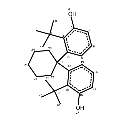 CC(C)(C)c1c(O)cccc1C1(c2cccc(O)c2C(C)(C)C)CCCCC1